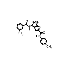 Cc1ccc(NC(=O)c2cc3c(NC(=O)c4cccc(C)c4)n[nH]c3s2)cc1